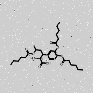 CCCCCC(=O)Oc1ccc(C(CC(C)OC(=O)CCCCC)[C@H](N)C(=O)O)cc1OC(=O)CCCCC